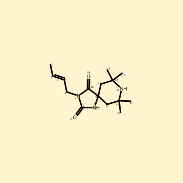 C/C=C/CN1C(=O)NC2(CC(C)(C)NC(C)(C)C2)C1=O